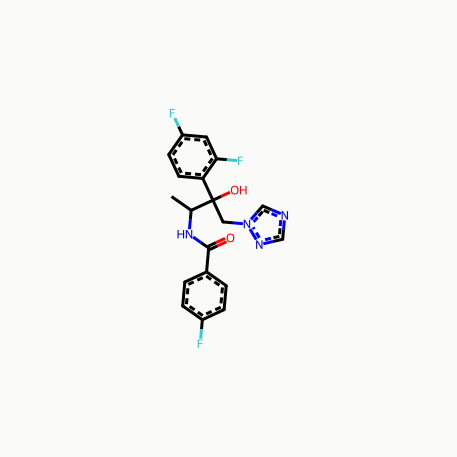 CC(NC(=O)c1ccc(F)cc1)C(O)(Cn1cncn1)c1ccc(F)cc1F